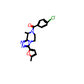 Cc1ccc(-c2nnc3n2CCN(C(=O)c2ccc(Cl)cc2)C3C)o1